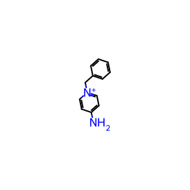 Nc1cc[n+](Cc2ccccc2)cc1